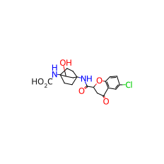 O=C(O)NC12CCC(NC(=O)C3CC(=O)c4cc(Cl)ccc4O3)(CC1)CC2O